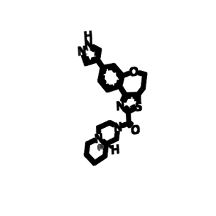 O=C(c1nc2c(s1)CCOc1cc(-c3cn[nH]c3)ccc1-2)N1CCN2CCCC[C@@H]2C1